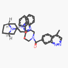 Cc1cnnc2cc(C(=O)N3CCC(CCN4[C@@H]5CC[C@H]4C[C@@H](n4c(C)nc6ccccc64)C5)(c4ccccc4)CC3)ccc12